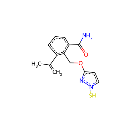 C=C(C)c1cccc(C(N)=O)c1COc1ccn(S)n1